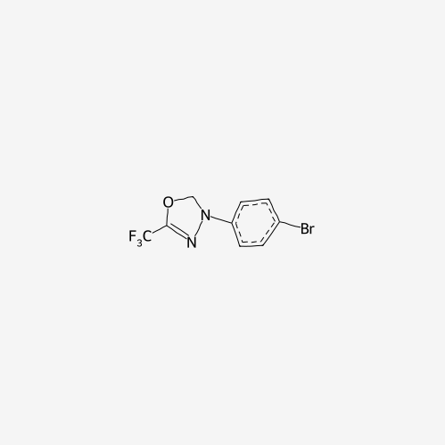 FC(F)(F)C1=NN(c2ccc(Br)cc2)CO1